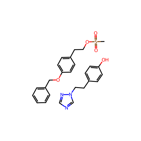 CS(=O)(=O)OCCc1ccc(OCc2ccccc2)cc1.Oc1ccc(CCn2cncn2)cc1